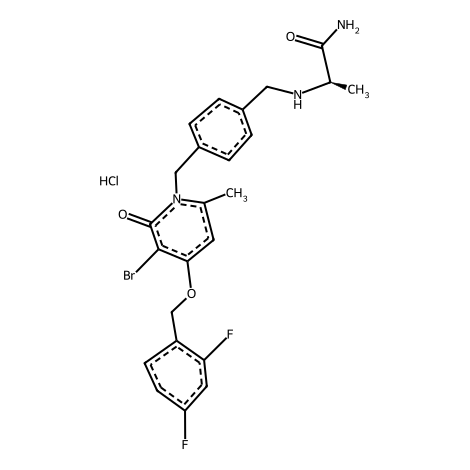 Cc1cc(OCc2ccc(F)cc2F)c(Br)c(=O)n1Cc1ccc(CN[C@H](C)C(N)=O)cc1.Cl